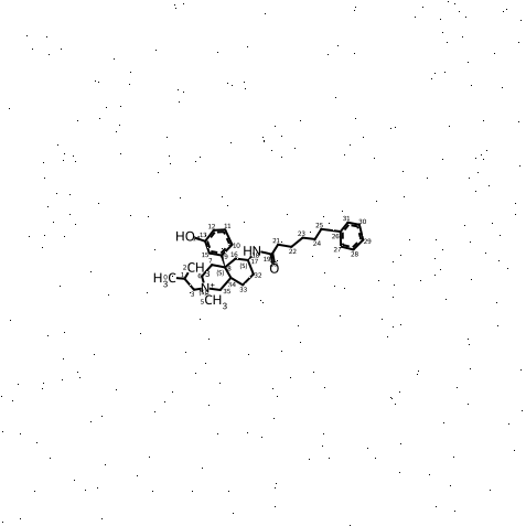 CC(C)C[N@+]1(C)CC[C@]2(c3cccc(O)c3)C[C@@H](NC(=O)CCCCCc3ccccc3)CCC2C1